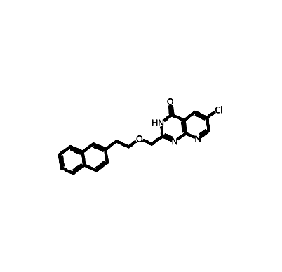 O=c1[nH]c(COCCc2ccc3ccccc3c2)nc2ncc(Cl)cc12